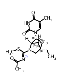 CC[C@@]12CN(/C(=N/C(C)=O)SC)[C@@H]([C@H](n3cc(C)c(=O)[nH]c3=O)O1)[C@@H]2C